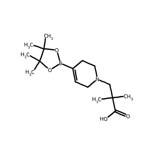 CC(C)(CN1CC=C(B2OC(C)(C)C(C)(C)O2)CC1)C(=O)O